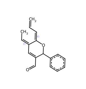 C=C/C=C1/OC(c2ccccc2)C(C=O)=C/C1=C/C